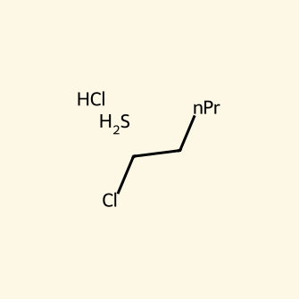 CCCCCCl.Cl.S